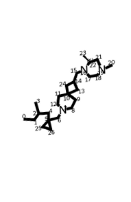 CCC(C)CC1(CN2CCC3(CC2)CC(CN2CCN(C)C[C@@H]2C)C3)CC1